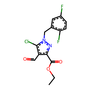 CCOC(=O)c1nn(Cc2cc(F)ccc2F)c(Cl)c1C=O